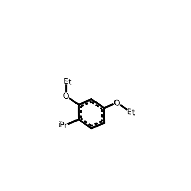 CCOc1ccc(C(C)C)c(OCC)c1